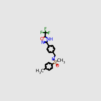 Cc1ccc(S(C)(=O)=NCc2ccc(C3=NOC(C(F)(F)F)N3)cc2)cc1